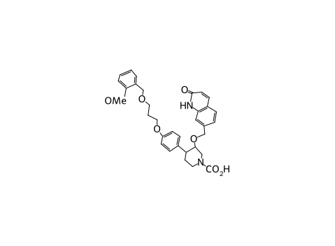 COc1ccccc1COCCCOc1ccc(C2CCN(C(=O)O)CC2OCc2ccc3ccc(=O)[nH]c3c2)cc1